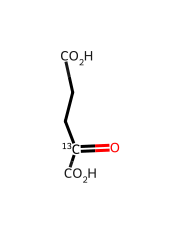 O=C(O)CC[13C](=O)[13C](=O)O